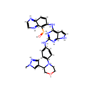 Cn1cc(C2COCCN2c2ccc(Nc3nc(Nc4ccc5nccnc5c4P=O)c4cc[nH]c4n3)cc2)cn1